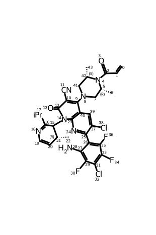 C=CC(=O)N1[C@H](C)CN(c2c(C#N)c(=O)n(C3C(C(C)C)=NC=C[C@H]3C)c3nc(-c4c(N)c(F)c(Cl)c(F)c4F)c(Cl)cc23)C[C@@H]1C